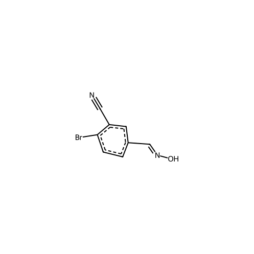 N#Cc1cc(C=NO)ccc1Br